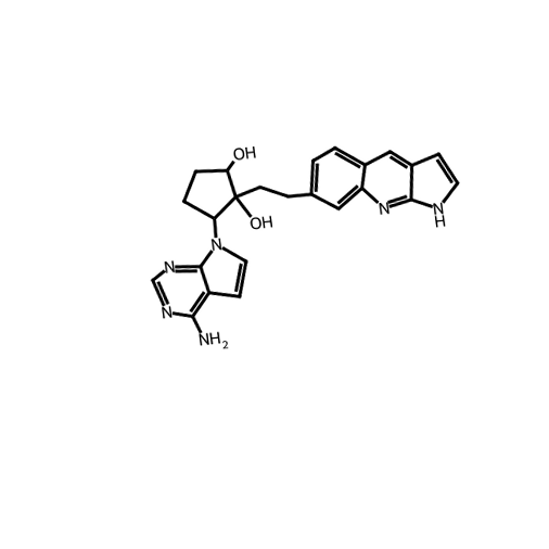 Nc1ncnc2c1ccn2C1CCC(O)C1(O)CCc1ccc2cc3cc[nH]c3nc2c1